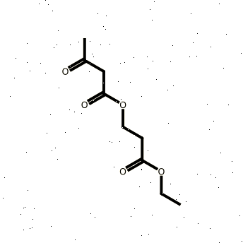 CCOC(=O)CCOC(=O)CC(C)=O